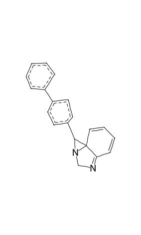 C1=CC2=NCN3C(c4ccc(-c5ccccc5)cc4)C23C=C1